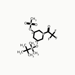 CC(C)(C)[Si](C)(C)O[C@@H]1C[C@@H](OS(C)(=O)=O)CN(C(=O)C(F)(F)F)C1